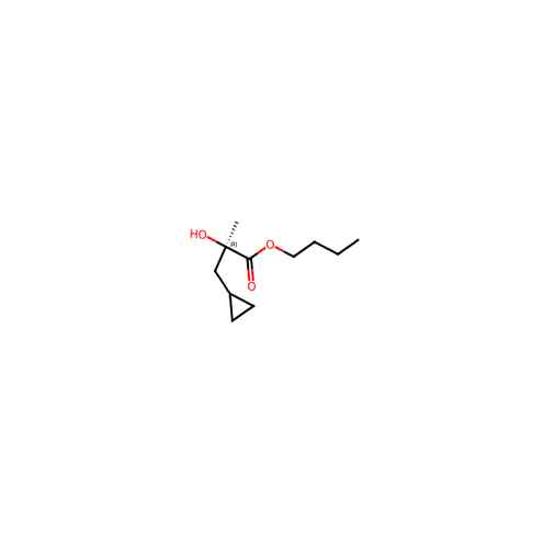 CCCCOC(=O)[C@](C)(O)CC1CC1